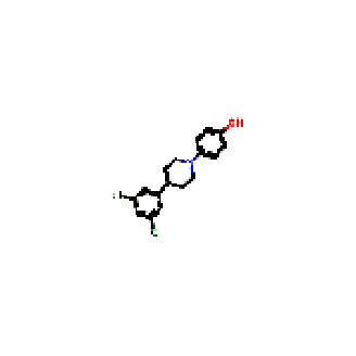 Oc1ccc(N2CCC(c3cc(Cl)cc(Cl)c3)CC2)cc1